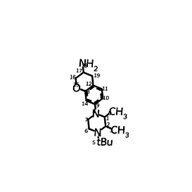 CC1C(C)N(C(C)(C)C)CCN1c1ccc2c(c1)OCC(N)C2